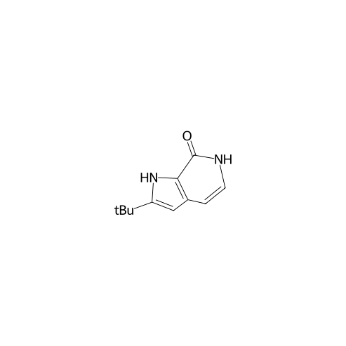 CC(C)(C)c1cc2cc[nH]c(=O)c2[nH]1